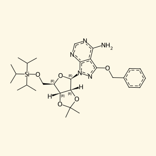 CC(C)[Si](OC[C@H]1O[C@@H](n2nc(OCc3ccccc3)c3c(N)ncnc32)[C@@H]2OC(C)(C)O[C@@H]21)(C(C)C)C(C)C